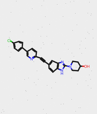 OC1CCN(c2nc3cc(C#Cc4ccc(-c5ccc(Cl)cc5)cn4)ccc3[nH]2)CC1